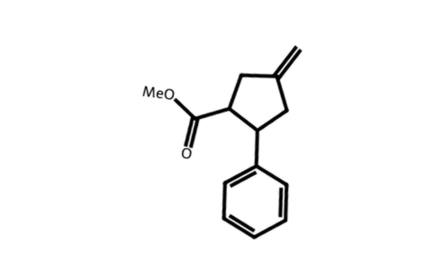 C=C1CC(C(=O)OC)C(c2ccccc2)C1